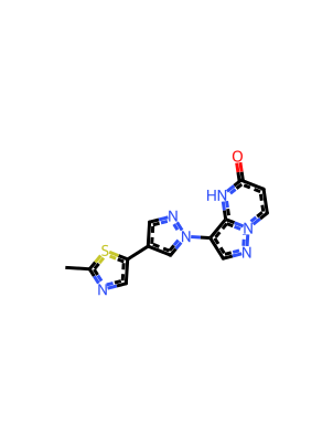 Cc1ncc(-c2cnn(-c3cnn4ccc(=O)[nH]c34)c2)s1